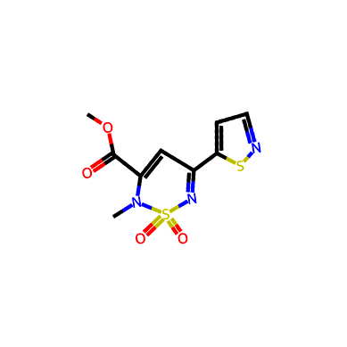 COC(=O)C1=CC(c2ccns2)=NS(=O)(=O)N1C